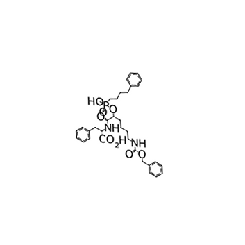 O=C(NCCCC[C@H](OP(=O)(O)CCCCc1ccccc1)C(=O)N[C@@H](Cc1ccccc1)C(=O)O)OCc1ccccc1